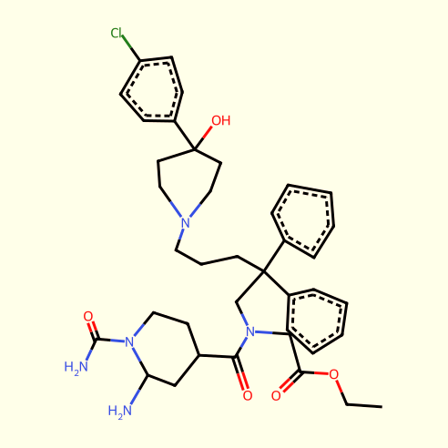 CCOC(=O)CN(CC(CCCN1CCC(O)(c2ccc(Cl)cc2)CC1)(c1ccccc1)c1ccccc1)C(=O)C1CCN(C(N)=O)C(N)C1